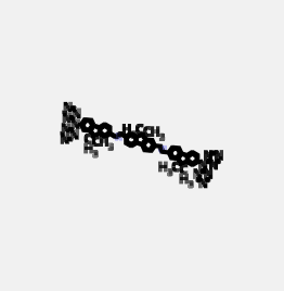 CC1(C)c2cc(/C=C/c3ccc4c(c3)C(C)(C)c3cc(N(c5ncncn5)c5ncncn5)ccc3-4)ccc2-c2ccc(/C=C/c3ccc4c(c3)C(C)(C)c3cc(N(c5ncncn5)c5ncncn5)ccc3-4)cc21